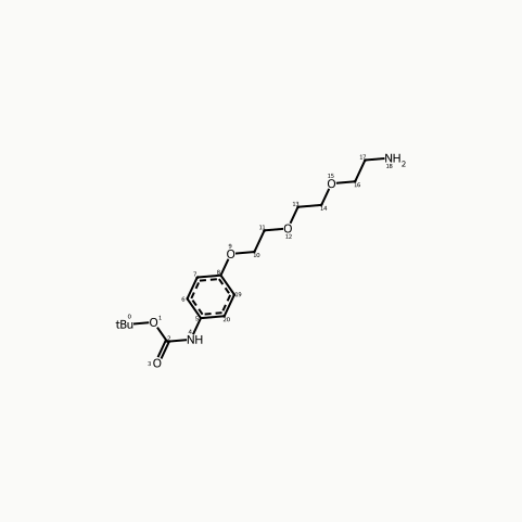 CC(C)(C)OC(=O)Nc1ccc(OCCOCCOCCN)cc1